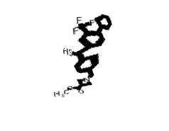 COC(=O)C1CN(Cc2ccc(C(S)c3ccc(-c4ccccc4)c(C(F)(F)F)c3)cc2)C1